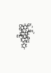 CCc1c(-c2ccccc2)ccc(N2CCN(C(=O)c3ccc(C(F)(F)F)cc3Cl)C[C@H]2CC)c1C(=O)NCCN